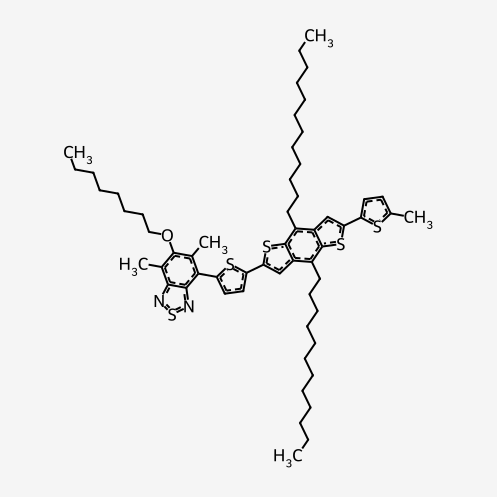 CCCCCCCCCCCCc1c2cc(-c3ccc(-c4c(C)c(OCCCCCCCC)c(C)c5nsnc45)s3)sc2c(CCCCCCCCCCCC)c2cc(-c3ccc(C)s3)sc12